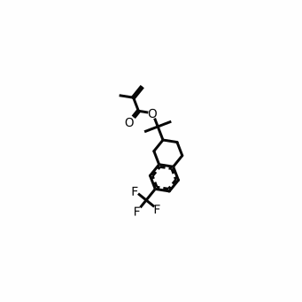 C=C(C)C(=O)OC(C)(C)C1CCc2ccc(C(F)(F)F)cc2C1